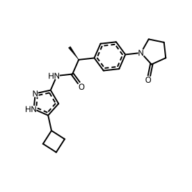 C[C@H](C(=O)Nc1cc(C2CCC2)[nH]n1)c1ccc(N2CCCC2=O)cc1